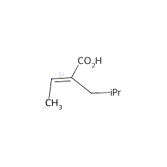 C/C=C(\CC(C)C)C(=O)O